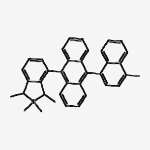 Cc1ccc(-c2c3ccccc3c(-c3cccc4c3C(C)[Si](C)(C)C4C)c3ccccc23)c2ccccc12